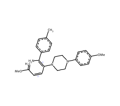 C=C(/C=C\C(=C(/N)c1ccc(C)cc1)N1CCN(c2ccc(OC)cc2)CC1)OC